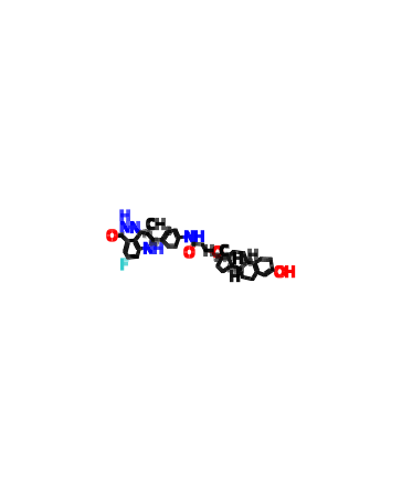 C[C@H]1c2n[nH]c(=O)c3cc(F)cc(c23)N[C@@H]1c1ccc(NC(=O)CCO[C@H]2CC[C@H]3[C@@H]4CCc5cc(O)ccc5[C@H]4CC[C@]23C)cc1